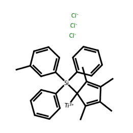 CC1=C(C)[C]([Ti+3])([Si](c2ccccc2)(c2ccccc2)c2cccc(C)c2)C(C)=C1C.[Cl-].[Cl-].[Cl-]